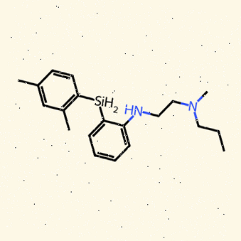 CCCN(C)CCNc1ccccc1[SiH2]c1ccc(C)cc1C